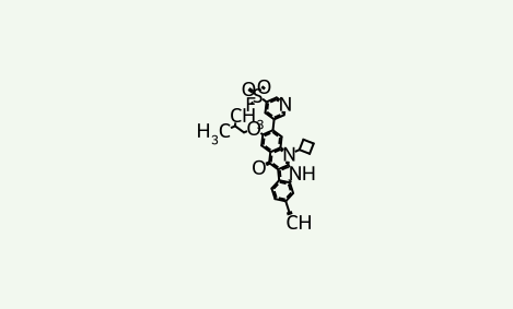 C#Cc1ccc2c(c1)[nH]c1c2c(=O)c2cc(OCC(C)C)c(-c3cncc(S(=O)(=O)F)c3)cc2n1C1CCC1